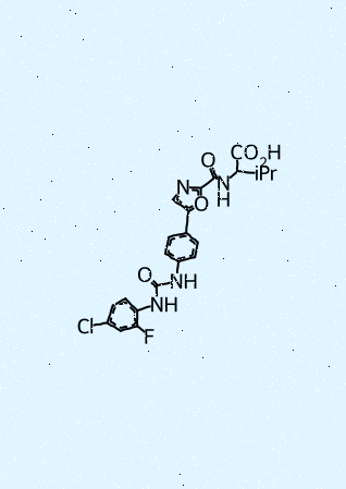 CC(C)C(NC(=O)c1ncc(-c2ccc(NC(=O)Nc3ccc(Cl)cc3F)cc2)o1)C(=O)O